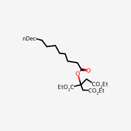 CCCCCCCCCCCCCCCCCC(=O)OC(CC(=O)OCC)(CC(=O)OCC)C(=O)OCC